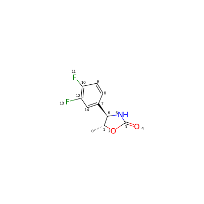 C[C@H]1OC(=O)N[C@@H]1c1ccc(F)c(F)c1